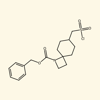 O=C(OCc1ccccc1)N1CCC12CCC(CS(=O)(=O)Cl)CC2